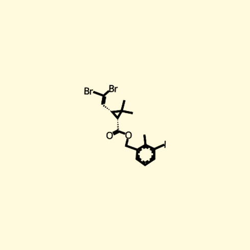 Cc1c(I)cccc1COC(=O)[C@@H]1[C@H](C=C(Br)Br)C1(C)C